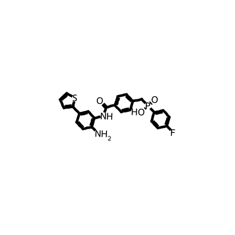 Nc1ccc(-c2cccs2)cc1NC(=O)c1ccc(CP(=O)(O)c2ccc(F)cc2)cc1